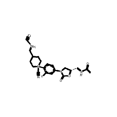 CC(=O)NC[C@H]1CN(c2ccc([N+]3(C#N)CCC(CNC=O)CC3)c(F)c2)C(=O)O1